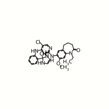 CCN1C(=O)CCCc2cc(Nc3ncc(Cl)c(Nc4ccccc4C4(C)NC=CN4)n3)c(OC)cc21